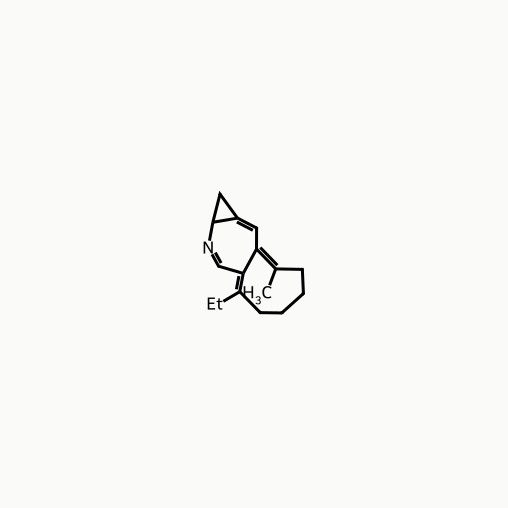 CC/C1=C2\C=NC3CC3=C\C2=C(\C)CCCC1